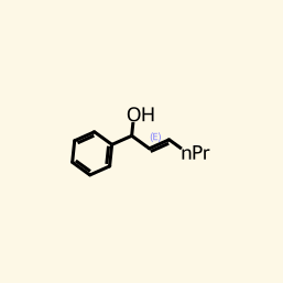 CCC/C=C/C(O)c1ccccc1